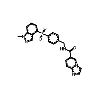 Cn1ncc2c(S(=O)(=O)c3ccc(CNC(=O)c4ccc5nccn5c4)cc3)cccc21